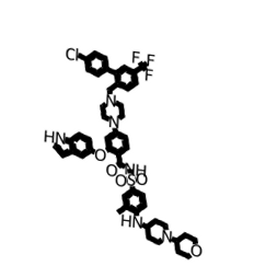 Cc1cc(S(=O)(=O)NC(=O)c2ccc(N3CCN(Cc4ccc(C(F)(F)F)cc4-c4ccc(Cl)cc4)CC3)cc2Oc2ccc3[nH]ccc3c2)ccc1NC1CCN(C2CCOCC2)CC1